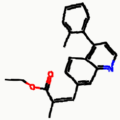 CCOC(=O)C(C)=Cc1ccc2c(-c3ccccc3C)ccnc2c1